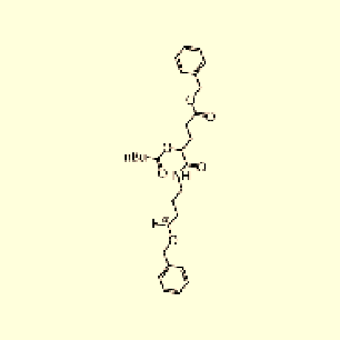 CCCCC(=O)OC(CCC(=O)OCc1ccccc1)C(=O)NCCC[C@H](I)OCc1ccccc1